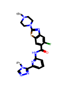 CC(C)n1cnnc1-c1cccc(NC(=O)c2cc3sc(N4CCN(C(C)(C)C)CC4)nc3cc2F)n1